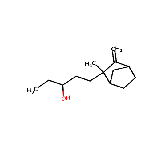 C=C1C2CCC(C2)C1(C)CCC(O)CC